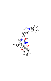 CCOC(=O)C1=C(C)N(CCCC2CCN(Cc3ccccc3)CC2)C(=O)NC1c1coc2ccccc2c1=O